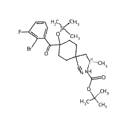 C[C@@H](CC1(C#N)CCC(O[Si](C)(C)C)(C(=O)c2cccc(F)c2Br)CC1)NC(=O)OC(C)(C)C